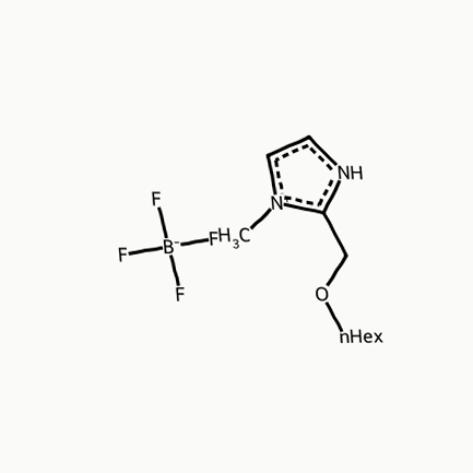 CCCCCCOCc1[nH]cc[n+]1C.F[B-](F)(F)F